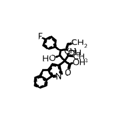 C=CC(O)C(c1ccc(F)cc1)C(O)C(C(=O)O)(c1cnc2c(c1)Cc1ccccc1-2)C(C)C